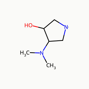 CN(C)C1C[N]CC1O